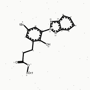 CCCCCCCCOC(=O)CCc1cc(C(C)(C)C)cc(-n2nc3ccccc3n2)c1O